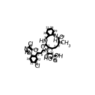 C[C@@H]1CCC[C@@H](N(CCC(=O)c2cc(Cl)ccc2-n2cc(Cl)nn2)C(=O)CP(=O)(O)O)C(=O)NCc2ccccc2NC1=O